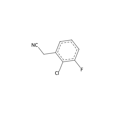 N#CCc1cccc(F)c1Cl